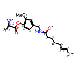 COc1cc(CNC(=O)CCCC/C=C/C(C)C)ccc1OC(=O)C(N)C(C)C